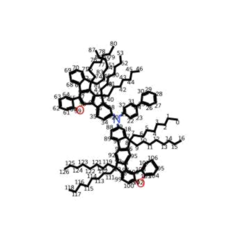 CCCCCCCCC1(CCCCCCCC)c2cc(N(c3ccc(-c4ccccc4)cc3)c3ccc4c(c3)C(CCCCCCC)(CCCCCCC)c3c5c(c6c(oc7ccccc76)c3-4)-c3ccccc3C5(CCCCCCC)CCCCCCC)ccc2-c2cc3c(cc21)-c1c(ccc2oc4ccccc4c12)C3(CCCCCCCC)CCCCCCCC